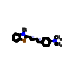 CCN1c2ccccc2SC1/C=C/C=C/c1ccc(N(C)C)cc1